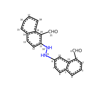 O=Cc1cccc2ccc(NNc3ccc4ccccc4c3C=O)cc12